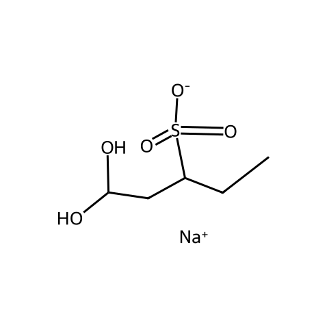 CCC(CC(O)O)S(=O)(=O)[O-].[Na+]